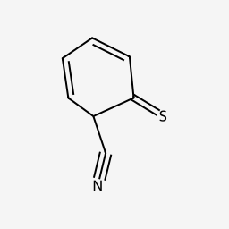 N#CC1C=CC=CC1=S